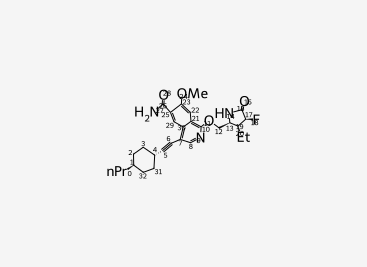 CCC[C@H]1CC[C@H](C#Cc2cnc(OC[C@H]3NC(=O)[C@@H](F)[C@H]3CC)c3cc(OC)c(C(N)=O)cc23)CC1